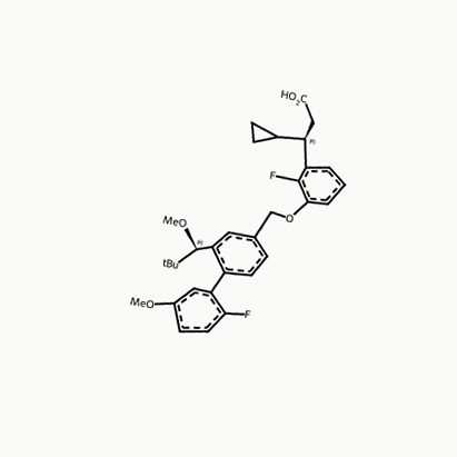 COc1ccc(F)c(-c2ccc(COc3cccc([C@H](CC(=O)O)C4CC4)c3F)cc2[C@H](OC)C(C)(C)C)c1